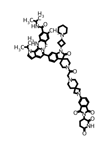 Cc1cc(F)c(Nc2nc(-c3ccc4c(c3)N([C@H]3C[C@@H](N5CCCCC5)C3)C(=O)C43CCN(C(=O)CN4CCC5(CC4)CN(c4ccc6c(c4)C(=O)N(C4CCC(=O)NC4=O)C6=O)C5)CC3)cc3ccn(C(C)C)c23)cc1C(=O)NC(C)C